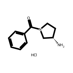 Cl.N[C@H]1CCN(C(=O)c2ccccc2)C1